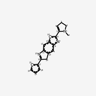 CN1CCC=C1c1nc2cc3c(cc2o1)N=C(c1ccco1)C3